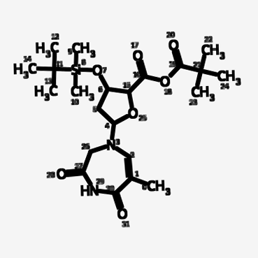 CC1=CN(C2CC(O[Si](C)(C)C(C)(C)C)C(C(=O)OC(=O)C(C)(C)C)O2)CC(=O)NC1=O